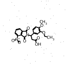 CCOc1cc(C(CC(=O)O)N2C(=O)c3cccc([N+](=O)[O-])c3C2=O)ccc1OC